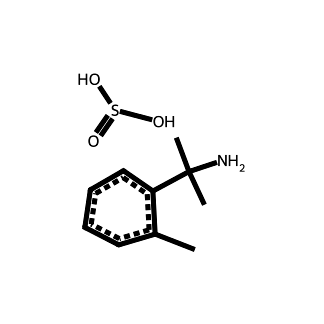 Cc1ccccc1C(C)(C)N.O=S(O)O